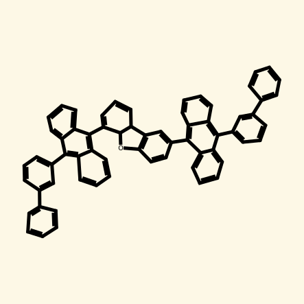 C1=CC2c3cc(-c4c5ccccc5c(-c5cccc(-c6ccccc6)c5)c5ccccc45)ccc3OC2C(c2c3ccccc3c(-c3cccc(-c4ccccc4)c3)c3ccccc23)=C1